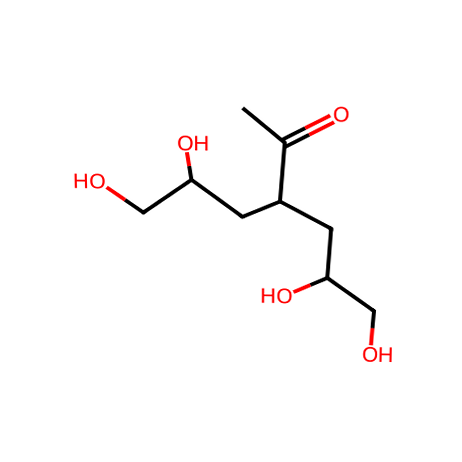 CC(=O)C(CC(O)CO)CC(O)CO